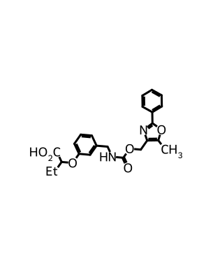 CCC(Oc1cccc(CNC(=O)OCc2nc(-c3ccccc3)oc2C)c1)C(=O)O